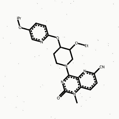 CCOC1CN(c2nc(=O)n(C)c3ccc(C#N)nc23)CCC1Oc1ccc(OC(C)C)cn1